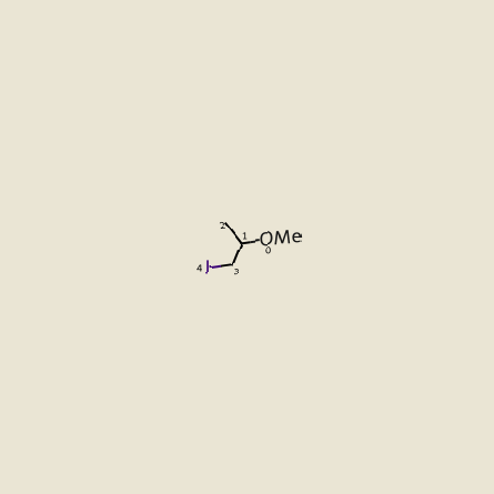 COC(C)CI